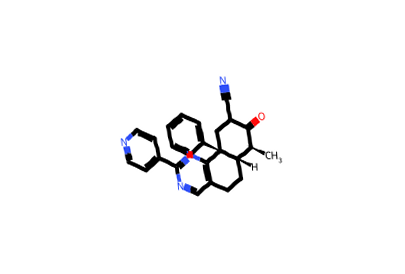 C[C@@H]1C(=O)C(C#N)C[C@@]2(c3ccccc3)c3nc(-c4ccncc4)ncc3CC[C@@H]12